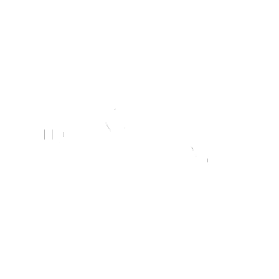 CC=CCCCCC1CC2CC1C1=C2CC(C)CC1